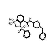 O=C(NC1CCN(Cc2ccccc2)CC1)c1cccc2c1C(S(=O)(=O)c1ccccc1)CS2(O)O